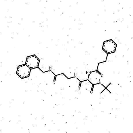 CC(C)(C)NC(=O)[C@H](NC(=O)CCc1ccccc1)C(=O)NCCC(=O)NCc1cccc2ccccc12